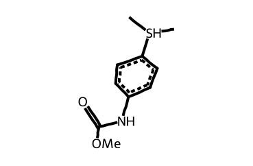 COC(=O)Nc1ccc([SH](C)C)cc1